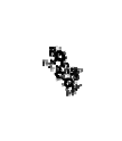 CC(C)N(C)[C@@H]1CC[C@H](N2CC[C@H](NC(=O)c3cccc(OC(F)(F)F)c3N)C2=O)[C@H](CS(C)(=O)=O)C1